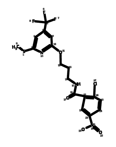 CSc1cc(C(F)(F)F)cc(OCCCNC(=O)c2cc([N+](=O)[O-])ccc2Cl)n1